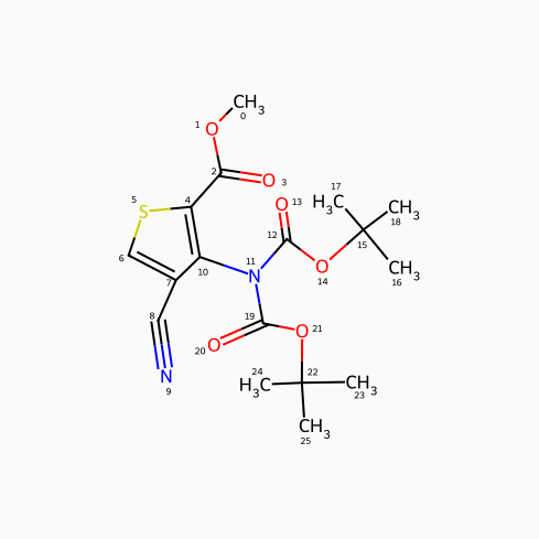 COC(=O)c1scc(C#N)c1N(C(=O)OC(C)(C)C)C(=O)OC(C)(C)C